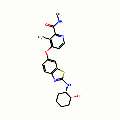 CNC(=O)c1nccc(Oc2ccc3nc(N[C@@H]4CCCC[C@H]4O)sc3c2)c1C